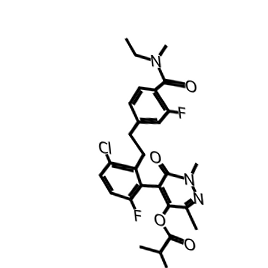 CCN(C)C(=O)c1ccc(CCc2c(Cl)ccc(F)c2-c2c(OC(=O)C(C)C)c(C)nn(C)c2=O)cc1F